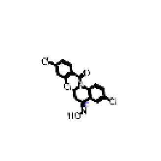 O=C(c1ccc(Cl)cc1Cl)N1CC/C(=N\O)c2cc(Cl)ccc21